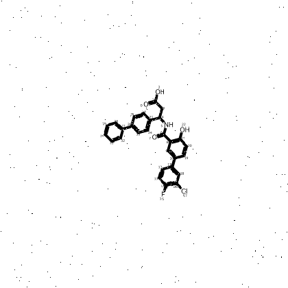 O=C(O)CC(NC(=O)c1cc(-c2ccc(F)c(Cl)c2)ccc1O)c1ccc(-c2ccccc2)cc1